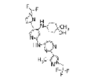 Cc1nn(CC(F)(F)F)cc1-c1nccc(Nc2cc(NC3CCC(C)(O)CC3)c(-c3ccn(C(F)F)n3)cn2)n1